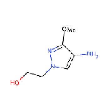 COc1nn(CCO)cc1N